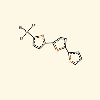 CC[Si](CC)(CC)c1ccc(-c2ccc(-c3cccs3)s2)s1